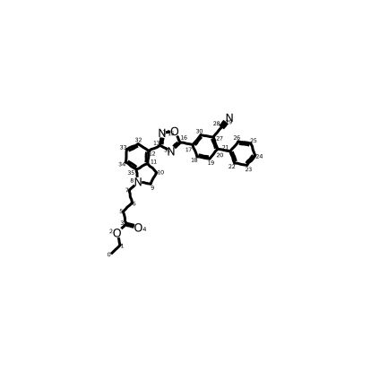 CCOC(=O)CCCN1CCc2c(-c3noc(-c4ccc(-c5ccccc5)c(C#N)c4)n3)cccc21